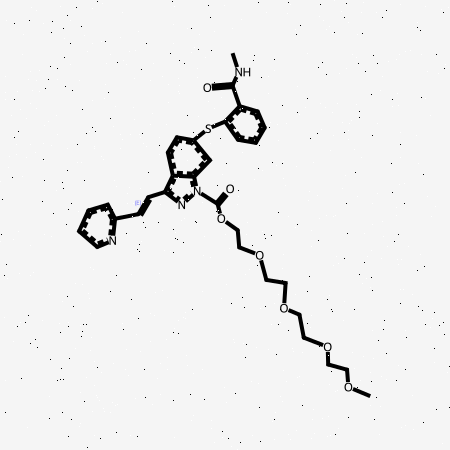 CNC(=O)c1ccccc1Sc1ccc2c(/C=C/c3ccccn3)nn(C(=O)OCCOCCOCCOCCOC)c2c1